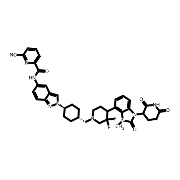 Cn1c(=O)n(C2CCC(=O)NC2=O)c2cccc(C3CCN(C[C@H]4CC[C@H](n5cc6cc(NC(=O)c7cccc(C#N)n7)ccc6n5)CC4)CC3(F)F)c21